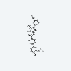 [C-]#[N+]c1cccc(-c2nn(CC(=O)N3CCN(c4ccc(Cl)c(OCC)c4)CC3)c(C)c2Cl)n1